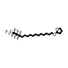 FC(F)(F)C(F)(F)C(F)(F)C(F)(F)CCCCCCCCCCCCOC1CCCO1